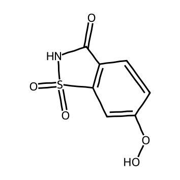 O=C1NS(=O)(=O)c2cc(OO)ccc21